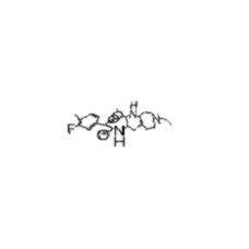 CCN1C=CC2=C(CC1)CC(NS(=O)(=O)c1ccc(C)c(F)c1)C(OC)N2